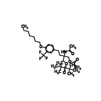 CCCCCCCOc1ccc(CCC(COC(C)=O)(COP(=O)(C(C)(C)C)C(C)(C)C)NC(C)=O)cc1C(F)(F)F